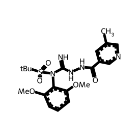 COc1cccc(OC)c1N(C(=N)NNC(=O)c1cncc(C)c1)S(=O)(=O)C(C)(C)C